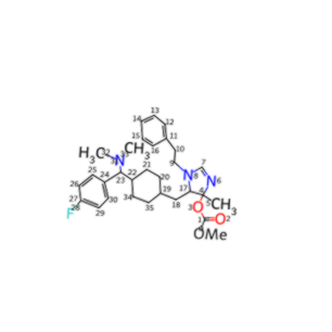 COC(=O)OC1(C)N=CN(CCc2ccccc2)C1CC1CCC(C(c2ccc(F)cc2)N(C)C)CC1